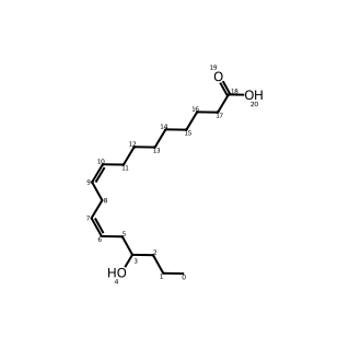 CCCC(O)C/C=C\C/C=C\CCCCCCCC(=O)O